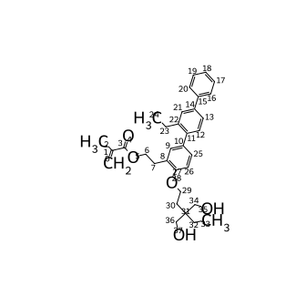 C=C(C)C(=O)OCCc1cc(-c2ccc(-c3ccccc3)cc2CC)ccc1OCCC(CC)(CO)CO